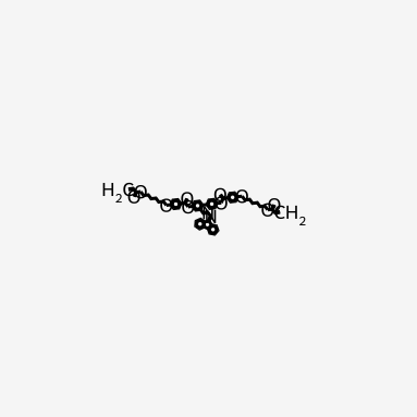 C=CC(=O)OCCCCCCOc1ccc(C(=O)Oc2ccc(-c3ccc(OC(=O)c4ccc(OCCCCCCOC(=O)C=C)cc4)cc3/C=N/N=C3c4ccccc4-c4ccccc43)cc2)cc1